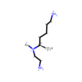 CC(=O)N(CCN)[C@@H](CCCCN)C(=O)O